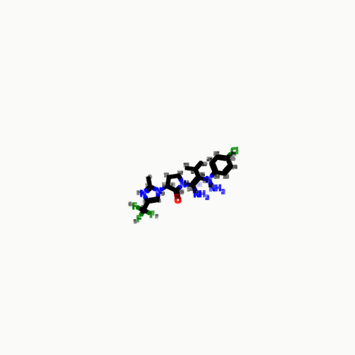 Cc1nc(C(F)(F)F)cn1[C@H]1CCN(/C(N)=C(\C(C)C)N(N)c2ccc(Cl)cc2)C1=O